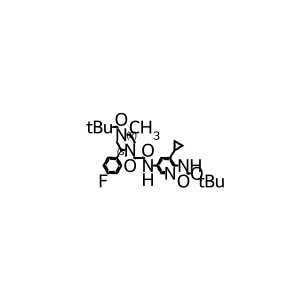 C[C@@H]1CN(C(=O)C(=O)Nc2cnc(NC(=O)OC(C)(C)C)c(C3CC3)c2)[C@@H](c2ccc(F)cc2)CN1C(=O)C(C)(C)C